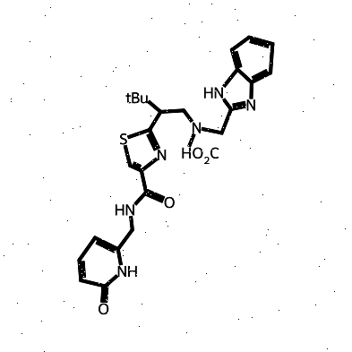 CC(C)(C)C(CN(Cc1nc2ccccc2[nH]1)C(=O)O)c1nc(C(=O)NCc2cccc(=O)[nH]2)cs1